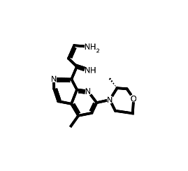 Cc1cc(N2CCOC[C@H]2C)nc2c(C(=N)/C=C\N)nccc12